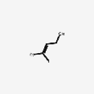 CC/C(I)=C/CO